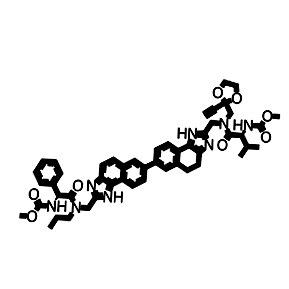 C#CC1(CN(Cc2nc3c([nH]2)-c2ccc(-c4ccc5c(ccc6nc(CN(CCC)C(=O)[C@H](NC(=O)OC)c7ccccc7)[nH]c65)c4)cc2CC3)C(=O)[C@@H](NC(=O)OC)C(C)C)OCCO1